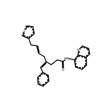 O=C(CC/C(=C\c1ccccc1)CC=CCc1ccccc1)Nc1cccc2cccnc12